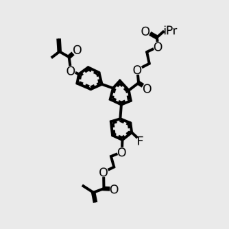 C=C(C)C(=O)OCCOc1ccc(-c2cc(C(=O)OCCOC(=O)C(C)C)cc(-c3ccc(OC(=O)C(=C)C)cc3)c2)cc1F